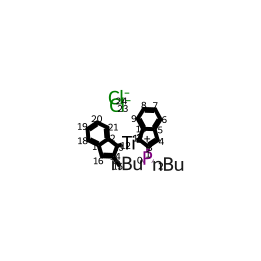 CCCCP(CCCC)C1=Cc2ccccc2[CH]1[Ti+2][CH]1C(C)=Cc2ccccc21.[Cl-].[Cl-]